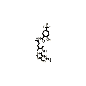 C=C(Nc1ncnc2cnc(OC)nc12)/C(C)=C\C=C(/C)NC(=O)C1=CCC(C(F)(F)F)=CC=C1OC